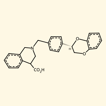 O=C(O)C1CN(Cc2ccc([C@H]3COc4ccccc4O3)cc2)Cc2ccccc21